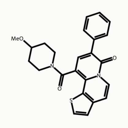 COC1CCN(C(=O)c2cc(-c3ccccc3)c(=O)n3ccc4ccsc4c23)CC1